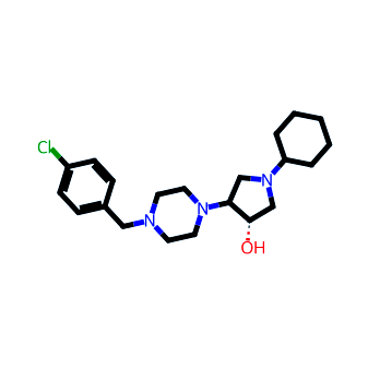 O[C@H]1CN(C2CCCCC2)CC1N1CCN(Cc2ccc(Cl)cc2)CC1